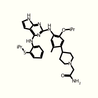 Cc1cc(Nc2nc(Nc3ccccc3SC(C)C)c3cc[nH]c3n2)c(OC(C)C)cc1C1CCN(CC(N)=O)CC1